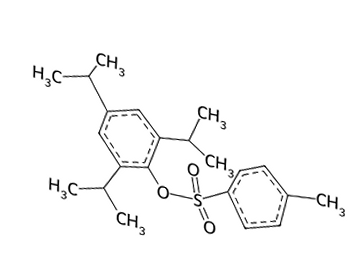 Cc1ccc(S(=O)(=O)Oc2c(C(C)C)cc(C(C)C)cc2C(C)C)cc1